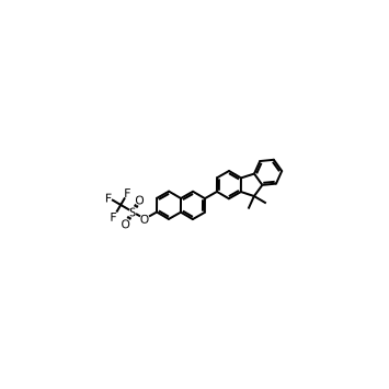 CC1(C)c2ccccc2-c2ccc(-c3ccc4cc(OS(=O)(=O)C(F)(F)F)ccc4c3)cc21